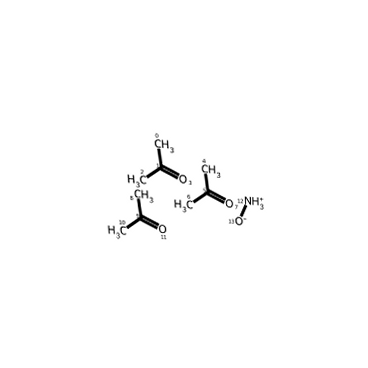 CC(C)=O.CC(C)=O.CC(C)=O.[NH3+][O-]